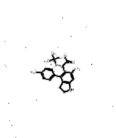 Cc1ccc(-c2c3c(cc(C)c2[C@H](OC(C)(C)C)C(=O)O)NCC3)cc1